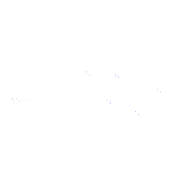 COc1ccc(N2CCn3c2nc2c3c(=O)n(C)c(=O)n2C)cc1